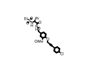 CCS(=O)(=O)NC(C(=O)NOCc1ccc(OCC#Cc2ccc(Cl)cc2)c(OC)c1)C(C)C